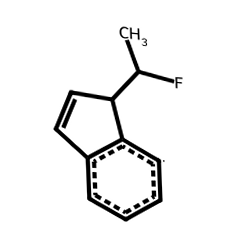 CC(F)C1C=Cc2ccc[c]c21